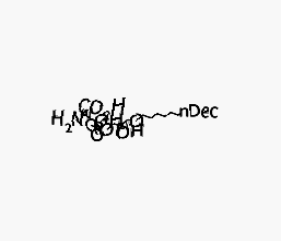 CCCCCCCCCCCCCCCCOC[C@H](O)COP(=O)(O)OC[C@H](N)C(=O)O